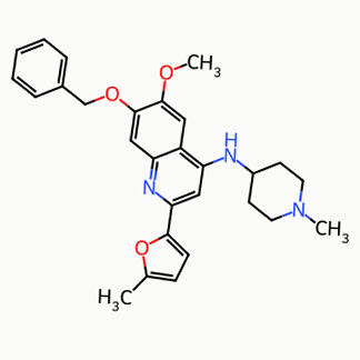 COc1cc2c(NC3CCN(C)CC3)cc(-c3ccc(C)o3)nc2cc1OCc1ccccc1